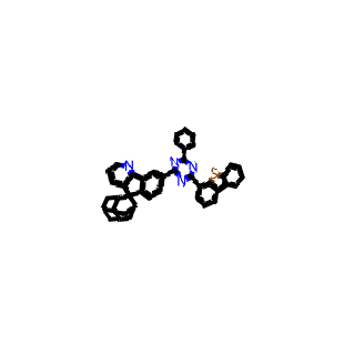 c1ccc(-c2nc(-c3ccc4c(c3)-c3ncccc3C43C4CC5CC(C4)CC3C5)nc(-c3cccc4c3sc3ccccc34)n2)cc1